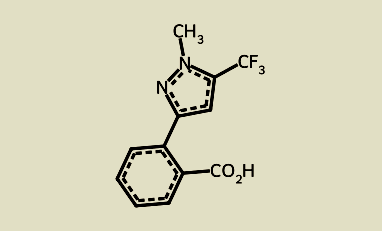 Cn1nc(-c2ccccc2C(=O)O)cc1C(F)(F)F